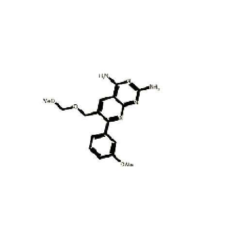 COCOCc1cc2c(N)nc(N)nc2nc1-c1cccc(OC)c1